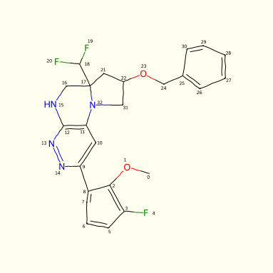 COc1c(F)cccc1-c1cc2c(nn1)NCC1(C(F)F)CC(OCc3ccccc3)CN21